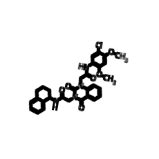 COc1cc(OC)c(NC(=O)Cn2c(=O)n(CC(=O)NC3CCCc4ccccc43)c(=O)c3ccccc32)cc1Cl